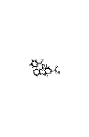 Nc1ccccc1O.O=C(O)c1ccccc1.O=C(O)c1ccccc1